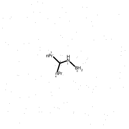 BNC(CCC)CCC